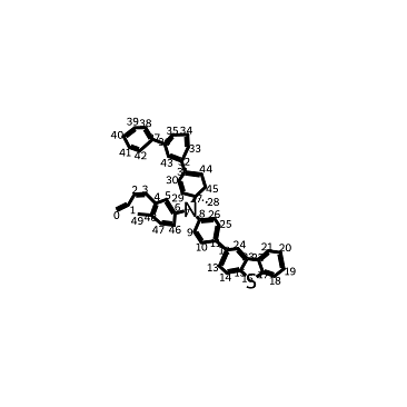 C=C/C=C\c1cc(N(c2ccc(-c3ccc4sc5ccccc5c4c3)cc2)[C@@]2(C)C=CC(c3cccc(-c4ccccc4)c3)=CC2)ccc1C